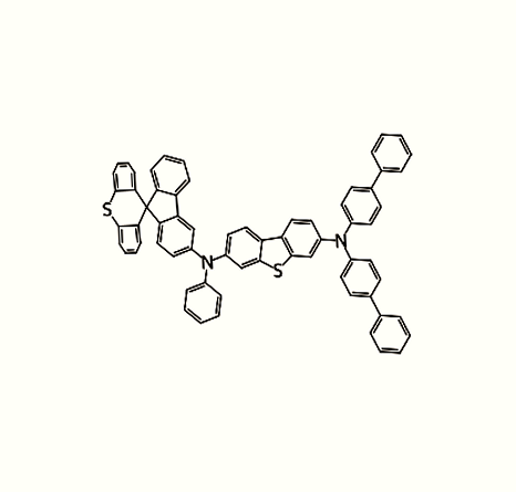 c1ccc(-c2ccc(N(c3ccc(-c4ccccc4)cc3)c3ccc4c(c3)sc3cc(N(c5ccccc5)c5ccc6c(c5)-c5ccccc5C65c6ccccc6Sc6ccccc65)ccc34)cc2)cc1